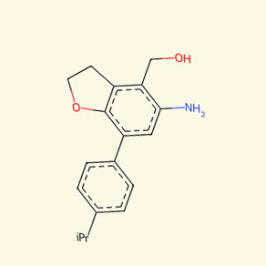 CC(C)c1ccc(-c2cc(N)c(CO)c3c2OCC3)cc1